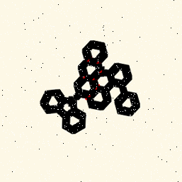 c1ccc(-c2ccccc2-c2c(-c3ccccc3)cccc2N(c2ccccc2)c2ccc(-n3c4ccccc4c4ccccc43)cc2)cc1